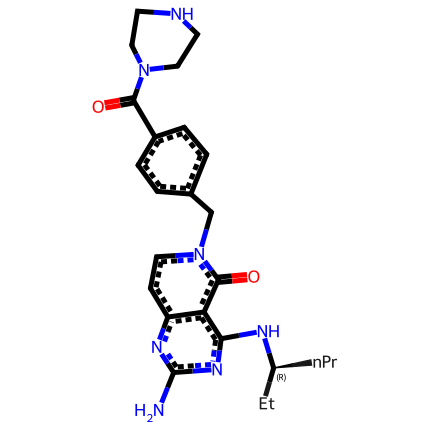 CCC[C@@H](CC)Nc1nc(N)nc2ccn(Cc3ccc(C(=O)N4CCNCC4)cc3)c(=O)c12